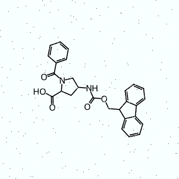 O=C(NC1CC(C(=O)O)N(C(=O)c2ccccc2)C1)OCC1c2ccccc2-c2ccccc21